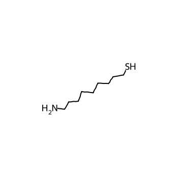 NCCCCCCCCCS